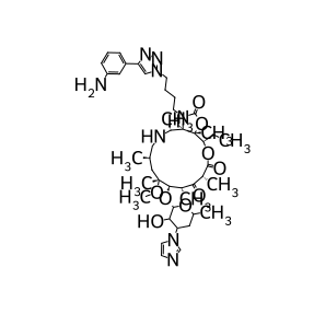 CC[C@H]1OC(=O)[C@H](C)C(=O)[C@H](C)[C@@H](O[C@@H]2OC(C)CC(n3ccnc3)C2O)[C@](C)(OC)C[C@@H](C)CN[C@H](C)[C@H]2N(CCCCn3cc(-c4cccc(N)c4)nn3)C(=O)O[C@]12C